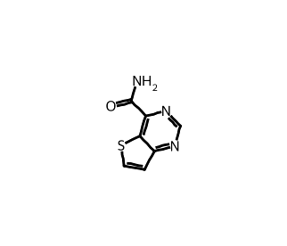 NC(=O)c1ncnc2ccsc12